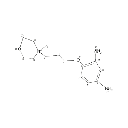 C[N+]1(CCCOc2ccc(N)cc2N)CCOCC1